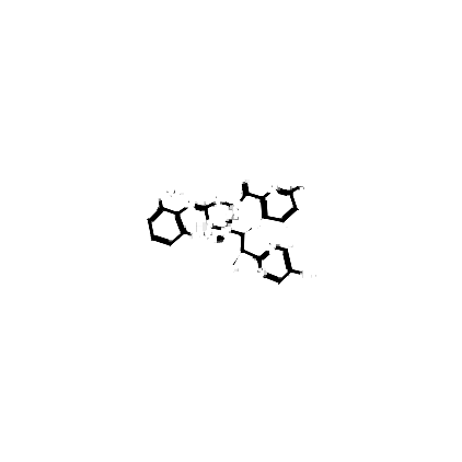 COc1cccc(OC)c1/N=C(/NNC(=O)c1cccc(Cl)n1)NS(=O)(=O)[C@@H](C)[C@H](C)c1ncc(F)cn1